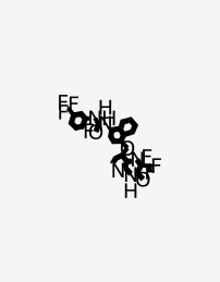 O=C(Nc1cc(C(F)(F)F)ccc1F)Nc1ccc(Oc2ccnc3[nH]c(=O)c(C(F)(F)F)nc23)c2ccccc12